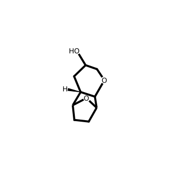 OC1COC2C3CCC(O3)[C@@H]2C1